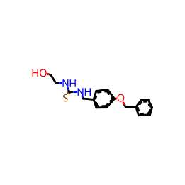 OCCNC(=S)NCc1ccc(OCc2ccccc2)cc1